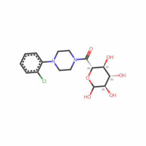 O=C([C@H]1OC(O)[C@H](O)[C@@H](O)[C@@H]1O)N1CCN(c2ccccc2Cl)CC1